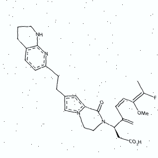 C=C(/C=C\C(OC)=C(/C)F)[C@@H](CC(=O)O)N1CCn2cc(CCc3ccc4c(n3)NCCC4)cc2C1=O